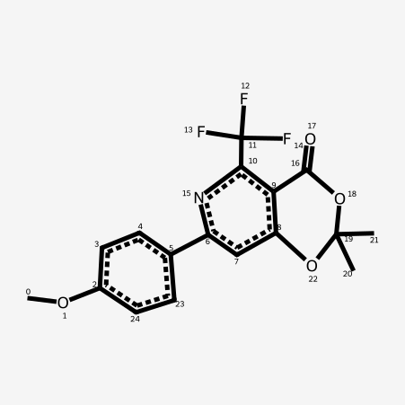 COc1ccc(-c2cc3c(c(C(F)(F)F)n2)C(=O)OC(C)(C)O3)cc1